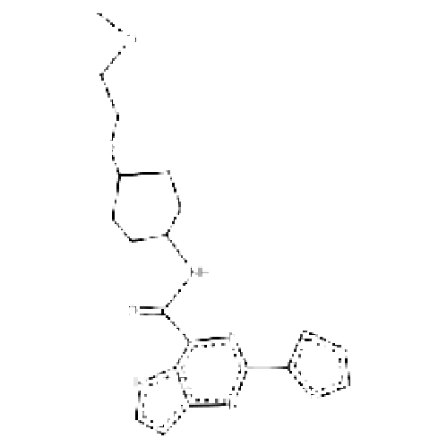 COCCOC1CCC(NC(=O)c2nc(-c3cncs3)nc3cc[nH]c23)CC1